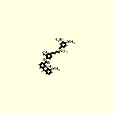 COc1cc(CCCCN(C)Cc2ccc(OC)c(OC)c2)ccc1NC(=O)c1cccc2c(=O)c3cccc(OC)c3[nH]c12